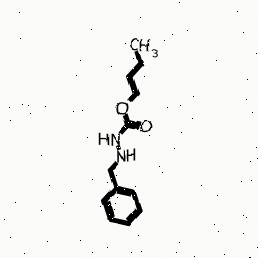 CCCCOC(=O)NNCc1ccccc1